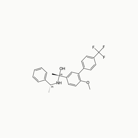 COc1ccc([C@@](C)(O)N[C@H](C)c2ccccc2)cc1-c1ccc(C(F)(F)F)cc1